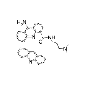 CN(C)CCCNC(=O)c1cccc2c(N)c3ccccc3nc12.c1ccc2nc3ccccc3cc2c1